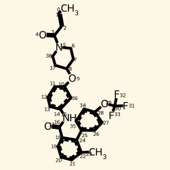 C/C=C/C(=O)N1CCC(Oc2cccc(NC(=O)c3cccc(C)c3-c3ccc(OC(F)(F)F)cc3)c2)CC1